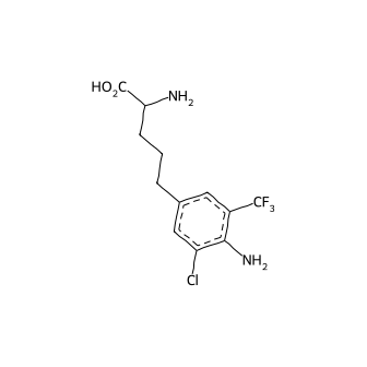 Nc1c(Cl)cc(CCCC(N)C(=O)O)cc1C(F)(F)F